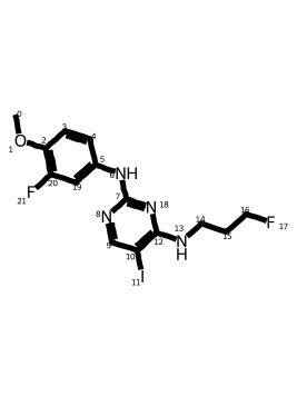 COc1ccc(Nc2ncc(I)c(NCCCF)n2)cc1F